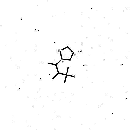 CC(C(C)C(C)(C)I)[C@@H]1C[C@@H](C)CN1